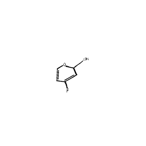 OC1C=C(F)C=CO1